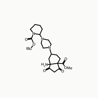 COC(=O)C12CCC(N3CCN(C4CCCCN4C(=O)OC(C)(C)C)CC3)CC1(N)C(=O)CC2=O